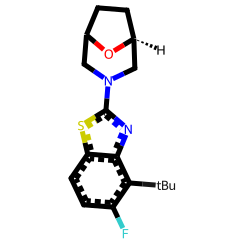 CC(C)(C)c1c(F)ccc2sc(N3CC4CC[C@@H](C3)O4)nc12